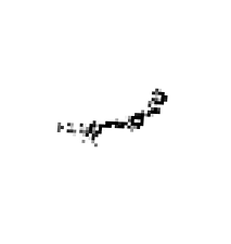 CN(C(=O)O)c1cnc(C#CC=Cc2nc3ccc(OCC(CF)OC4CCCCO4)cc3s2)cn1